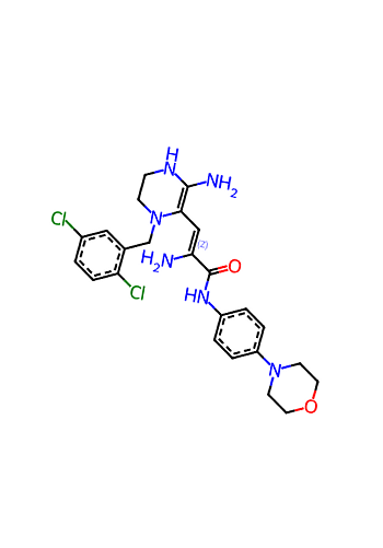 NC1=C(/C=C(\N)C(=O)Nc2ccc(N3CCOCC3)cc2)N(Cc2cc(Cl)ccc2Cl)CCN1